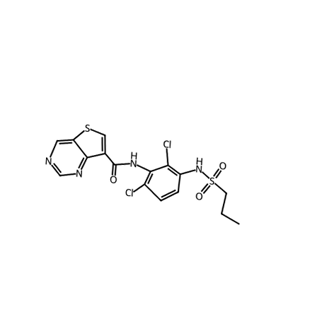 CCCS(=O)(=O)Nc1ccc(Cl)c(NC(=O)c2csc3cncnc23)c1Cl